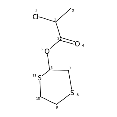 CC(Cl)C(=O)OC1CSCCS1